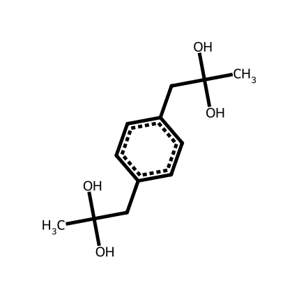 CC(O)(O)Cc1ccc(CC(C)(O)O)cc1